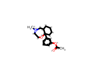 CC(=O)Oc1cccc(C23CCCCC2CN(C)CCO3)c1